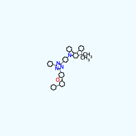 CC1(C)c2ccccc2-c2c1ccc1c2c2ccccc2n1-c1ccc(-c2nc(-c3ccccc3)nc(-c3ccc4c(c3)oc3c(-c5ccccc5)cccc34)n2)cc1